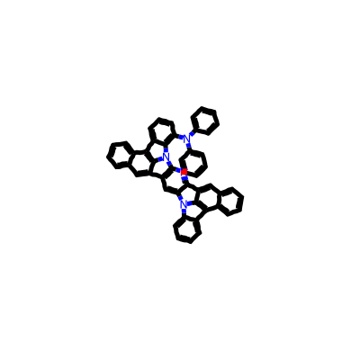 c1ccc(N(c2ccccc2)c2cccc3c4c5ccccc5cc5c6cc7c(nc6n(c23)c54)c2cc3ccccc3c3c4ccccc4n7c23)cc1